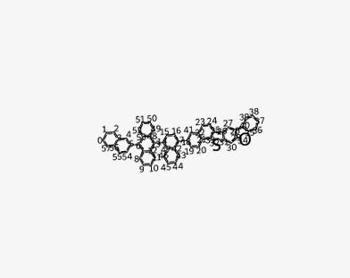 c1ccc2cc(-c3c4ccccc4c(-c4ccc(-c5ccc6c(ccc7c8cc9c(cc8sc67)oc6ccccc69)c5)c5ccccc45)c4ccccc34)ccc2c1